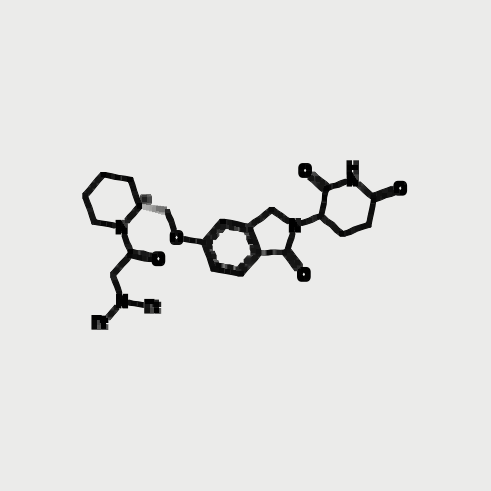 CCN(CC)CC(=O)N1CCCC[C@@H]1COc1ccc2c(c1)CN(C1CCC(=O)NC1=O)C2=O